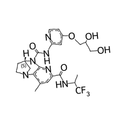 Cc1cc(C(=O)NC(C)C(F)(F)F)nc2c1N1CC[C@@H](C1)N2C(=O)Nc1cc(OCC(O)CO)ccn1